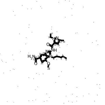 CCCCCn1c(NC(=O)c2cc(C)nn2CC)nc2cc(C(N)=O)cc(OC)c21